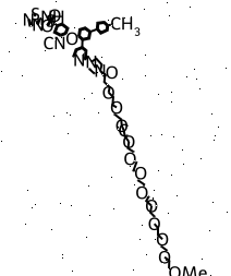 COCCOCCOCCOCCOCCOCCOCCOCCOCCOCCOCCOCCC(=O)N1CCN(c2cc(-c3cc(-c4ccc(C)cc4)ccc3Oc3ccc(S(=O)(=O)Nc4ncns4)cc3C#N)ccn2)CC1